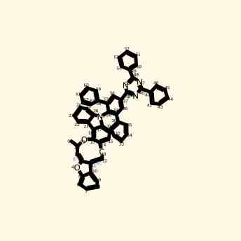 CC1/C=c2/oc3ccccc3/c2=C/Cc2ccc3c(c2O1)c1ccccc1n3-c1c(-c2ccccc2)cc(-c2nc(-c3ccccc3)nc(-c3ccccc3)n2)cc1-c1ccccc1